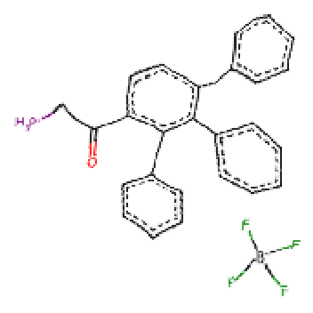 F[B-](F)(F)F.O=C(C[PH3+])c1ccc(-c2ccccc2)c(-c2ccccc2)c1-c1ccccc1